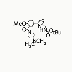 COc1ccc(-c2csc(CNC(=O)OC(C)(C)C)n2)cc1C(=O)N1CCC(N(C)C)CC1